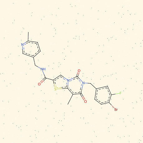 Cc1ccc(CNC(=O)c2cn3c(=O)n(Cc4ccc(Br)c(F)c4)c(=O)c(C)c3s2)cn1